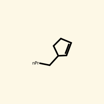 C[CH]CCC1C=CCC1